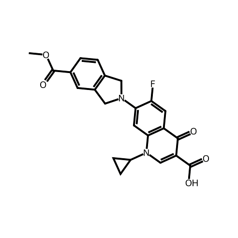 COC(=O)c1ccc2c(c1)CN(c1cc3c(cc1F)c(=O)c(C(=O)O)cn3C1CC1)C2